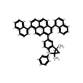 CC12C[C@@]1(C)c1cc(-c3cc(-c4cccc5ccccc45)c4ccc5ccc(-c6cccc7ccccc67)c6ccc3c4c56)ccc1N2c1ccccc1